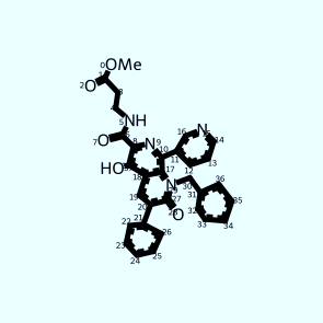 COC(=O)CCNC(=O)c1nc(-c2cccnc2)c2c(cc(-c3ccccc3)c(=O)n2Cc2ccccc2)c1O